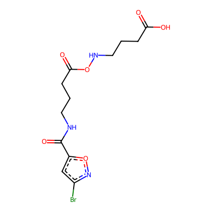 O=C(O)CCCNOC(=O)CCCNC(=O)c1cc(Br)no1